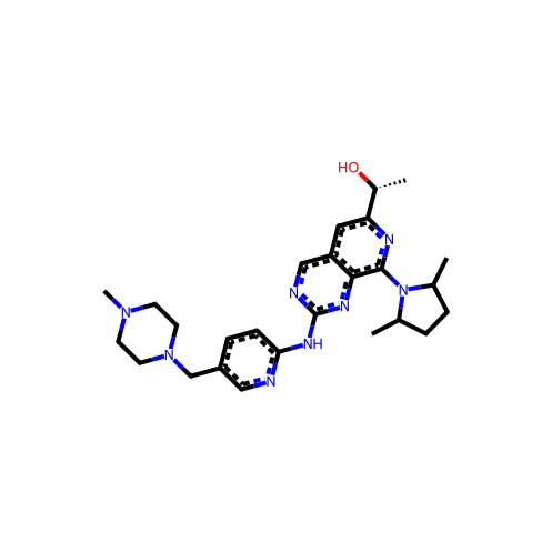 CC1CCC(C)N1c1nc([C@@H](C)O)cc2cnc(Nc3ccc(CN4CCN(C)CC4)cn3)nc12